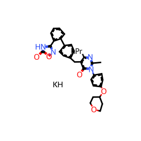 CCCc1nc(C)n(-c2ccc(OC3CCOCC3)cc2)c(=O)c1Cc1ccc(-c2ccccc2-c2noc(=O)[nH]2)cc1.[KH]